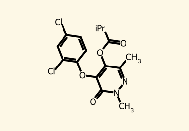 Cc1nn(C)c(=O)c(Oc2ccc(Cl)cc2Cl)c1OC(=O)C(C)C